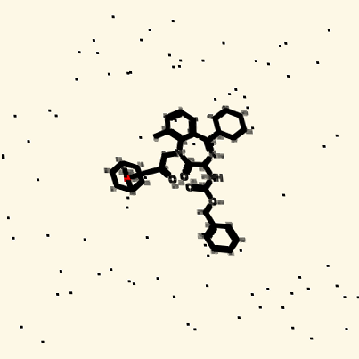 Cc1cccc2c1N(CC(=O)N1CC3CCC(CC3)C1)C(=O)C(NC(=O)OCc1ccccc1)N=C2C1CCCCC1